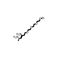 CCOCCOCCOCCOCC/C(N)=C/N(C)N